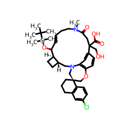 CN1CC/C=C/C(O[Si](C)(C)C(C)(C)C)[C@@H]2CC[C@H]2CN2C[C@@]3(CCCc4cc(Cl)ccc43)COc3ccc(cc32)C(CO)(C(=O)O)CC1=O